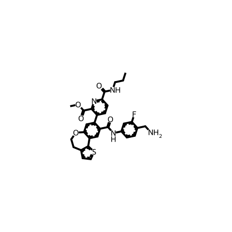 CCCNC(=O)c1ccc(-c2cc3c(cc2C(=O)Nc2ccc(CN)c(F)c2)-c2sccc2CCO3)c(C(=O)OC)n1